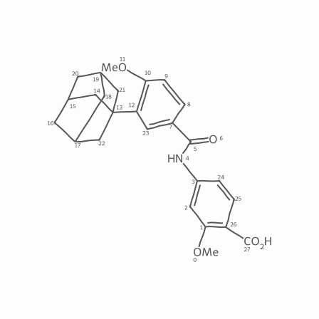 COc1cc(NC(=O)c2ccc(OC)c(C34CC5CC(CC(C5)C3)C4)c2)ccc1C(=O)O